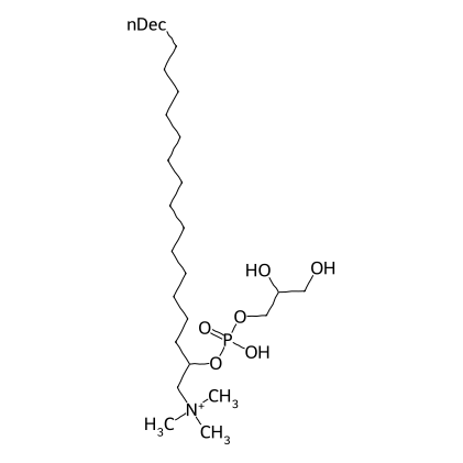 CCCCCCCCCCCCCCCCCCCCCCCCC(C[N+](C)(C)C)OP(=O)(O)OCC(O)CO